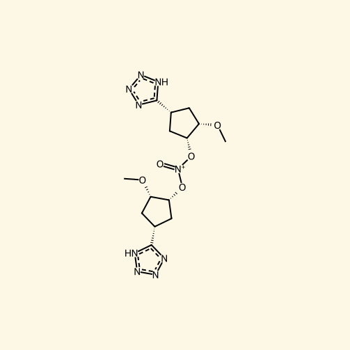 CO[C@H]1C[C@@H](c2nnn[nH]2)C[C@H]1O[N+](=O)O[C@@H]1C[C@H](c2nnn[nH]2)C[C@@H]1OC